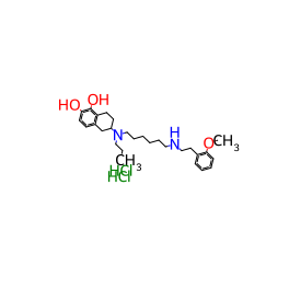 CCCN(CCCCCCNCCc1ccccc1OC)C1CCc2c(ccc(O)c2O)C1.Cl.Cl